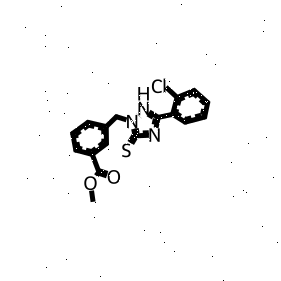 COC(=O)c1cccc(Cn2[nH]c(-c3ccccc3Cl)nc2=S)c1